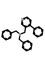 c1ccc(CN(Cc2ccccc2)Cc2cnccc2-c2ccccc2)cc1